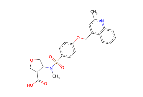 Cc1cc(COc2ccc(S(=O)(=O)N(C)C3COCC3C(=O)O)cc2)c2ccccc2n1